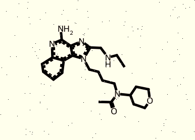 CCNCc1nc2c(N)nc3ccccc3c2n1CCCCN(C(C)=O)C1CCOCC1